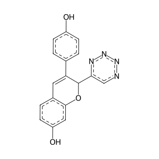 Oc1ccc(C2=Cc3ccc(O)cc3OC2c2cnnnn2)cc1